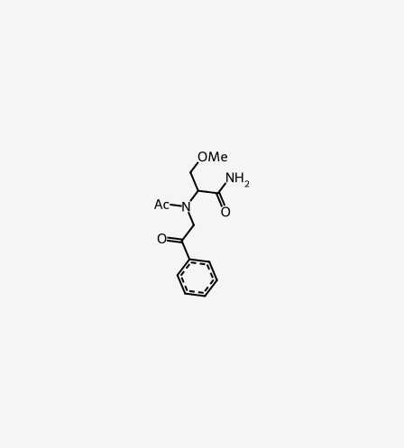 COCC(C(N)=O)N(CC(=O)c1ccccc1)C(C)=O